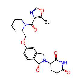 CCc1ocnc1C(=O)N1CCCC[C@H]1COc1ccc2c(c1)CN(C1CCC(=O)NC1=O)C2=O